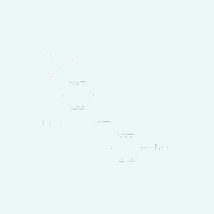 O=C(O)c1cc(S(=O)(=O)C(F)(F)F)ccc1SCc1cccc([N+](=O)[O-])c1